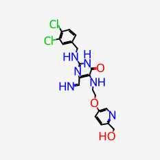 N=Cc1nc(NCc2ccc(Cl)c(Cl)c2)[nH]c(=O)c1NCCOc1ccc(CO)nc1